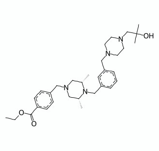 CCOC(=O)c1ccc(CN2C[C@@H](C)N(Cc3cccc(CN4CCN(CC(C)(C)O)CC4)c3)[C@@H](C)C2)cc1